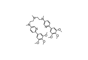 COc1cc(-c2ccc(N(C)CCN(C)CCN(C)c3ccc(-c4cc(OC)c(OC)c(OC)c4)nc3)cn2)cc(OC)c1OC